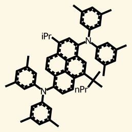 CCCC(C)(C)c1cc2c(N(c3cc(C)cc(C)c3)c3cc(C)cc(C)c3)cc(C(C)C)c3ccc4c(N(c5cc(C)cc(C)c5)c5cc(C)cc(C)c5)ccc1c4c32